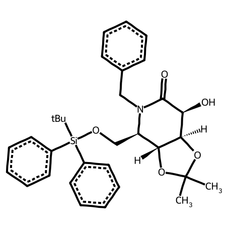 CC1(C)O[C@H]2[C@H](O1)[C@@H](CO[Si](c1ccccc1)(c1ccccc1)C(C)(C)C)N(Cc1ccccc1)C(=O)[C@H]2O